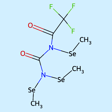 C[Se]N([Se]C)C(=O)N([Se]C)C(=O)C(F)(F)F